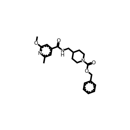 COc1cc(C(=O)NCC2CCN(C(=O)OCc3ccccc3)CC2)cc(C)n1